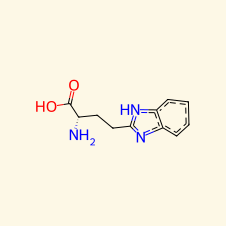 N[C@@H](CCc1nc2ccccc2[nH]1)C(=O)O